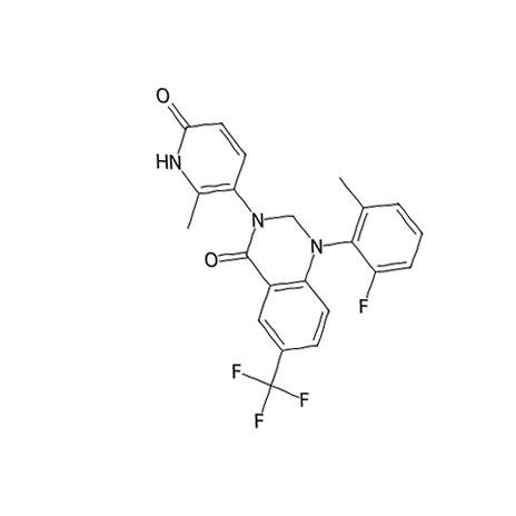 Cc1cccc(F)c1N1CN(c2ccc(=O)[nH]c2C)C(=O)c2cc(C(F)(F)F)ccc21